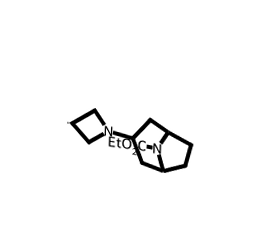 CCOC(=O)N1C2CCC1CC(N1C[CH]C1)C2